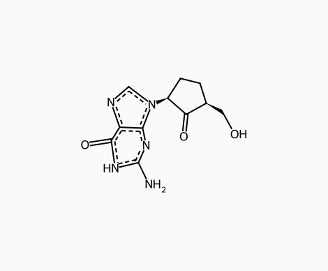 Nc1nc2c(ncn2[C@H]2CC[C@@H](CO)C2=O)c(=O)[nH]1